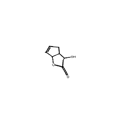 O=C1OC2C=CCC2C1O